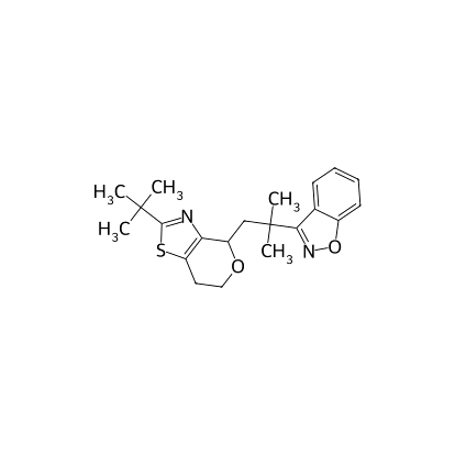 CC(C)(C)c1nc2c(s1)CCOC2CC(C)(C)c1noc2ccccc12